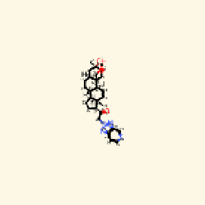 COC[C@]12CC[C@@](C)(O)C[C@@H]1CC[C@H]1[C@@H]3CC[C@H](C(=O)Cn4nc5ccncc5n4)[C@@]3(C)CC[C@@H]12